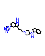 c1ccc2c(c1)CC[C@@H]2NC1CCN(CCCc2c[nH]c3ccc(-n4cnnc4)cc23)CC1